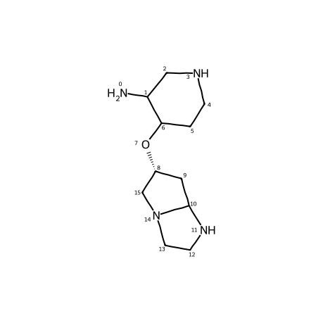 NC1CNCCC1O[C@@H]1CC2NCCN2C1